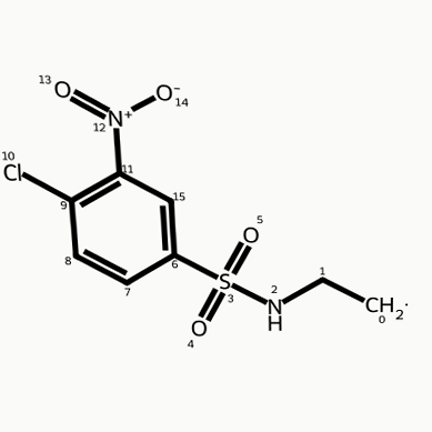 [CH2]CNS(=O)(=O)c1ccc(Cl)c([N+](=O)[O-])c1